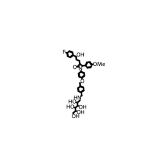 COc1ccc(C2C(CCC(O)c3ccc(F)cc3)C(=O)N2c2ccc(OCc3ccc(CNCC(O)C(O)C(O)C(O)CO)cc3)cc2)cc1